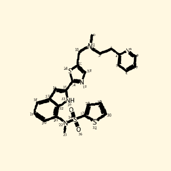 CN(CCc1ccccn1)Cc1cnc(-c2cc3cccc(N(C)S(=O)(=O)c4cccs4)c3[nH]2)s1